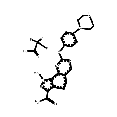 Cn1nc(C(N)=O)c2ccc3cnc(Oc4ccc(N5CCNCC5)cc4)nc3c21.O=C(O)C(F)(F)F